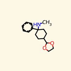 CNC1(c2ccccc2)CCC(C2OCCO2)CC1